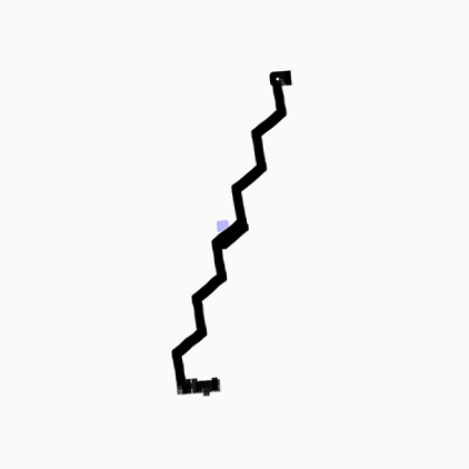 CCCCCCCCCCC/C=C/CCCCC#N